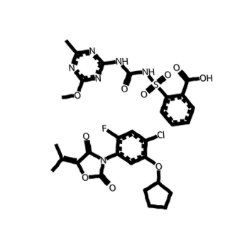 CC(C)=C1OC(=O)N(c2cc(OC3CCCC3)c(Cl)cc2F)C1=O.COc1nc(C)nc(NC(=O)NS(=O)(=O)c2ccccc2C(=O)O)n1